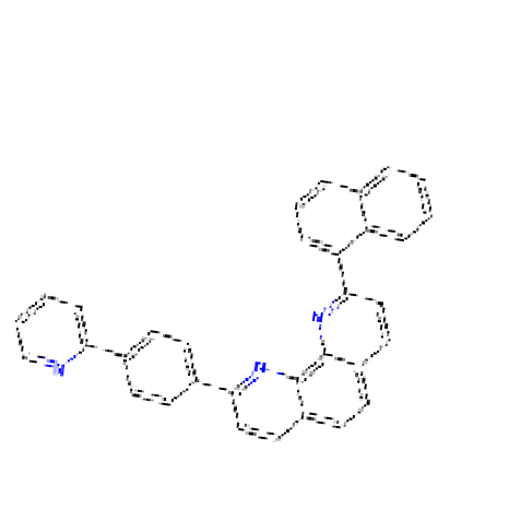 c1ccc(-c2ccc(-c3ccc4ccc5ccc(-c6cccc7ccccc67)nc5c4n3)cc2)nc1